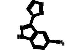 Nc1ccc2[nH]nc(-n3ccnn3)c2c1